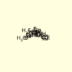 COc1ccc(C(C)NC(=O)c2nn3cc(-c4ccc5ccccc5c4)[nH]c(=O)c3c2C(F)(F)F)cn1